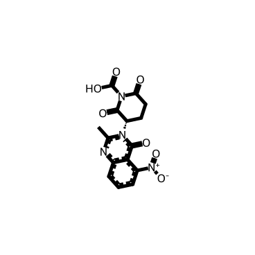 Cc1nc2cccc([N+](=O)[O-])c2c(=O)n1[C@H]1CCC(=O)N(C(=O)O)C1=O